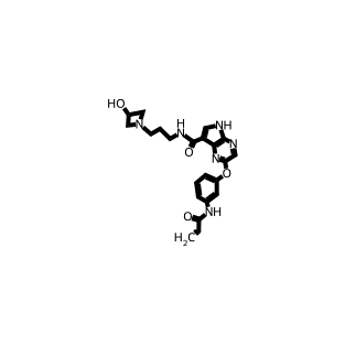 C=CC(=O)Nc1cccc(Oc2cnc3[nH]cc(C(=O)NCCCN4CC(O)C4)c3n2)c1